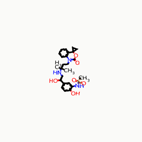 CC(C)(CCN1C(=O)OC2(CC2)c2ccccc21)NCC(O)c1ccc(O)c(NS(C)(=O)=O)c1